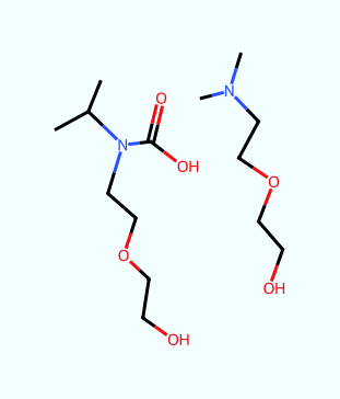 CC(C)N(CCOCCO)C(=O)O.CN(C)CCOCCO